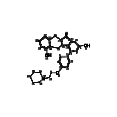 Oc1cc(-c2ccc(OCCN3CCCCC3)cc2)c2c3c(sc2c1)Cc1cccc(O)c1C3